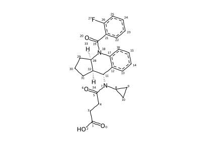 O=C(O)CCC(=O)N(C1CC1)[C@H]1c2ccccc2N(C(=O)c2ccccc2F)[C@@H]2CCC[C@@H]21